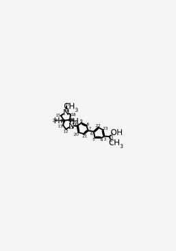 CC(O)c1ccc(-c2ccc(N3CC[C@@H]4CN(C)C[C@@H]43)cc2)cc1